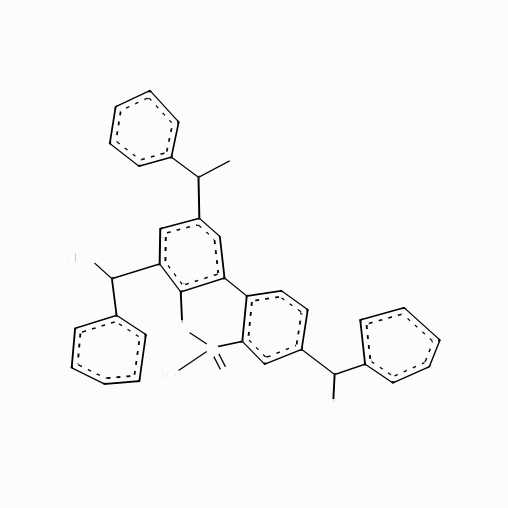 CC(c1ccccc1)c1cc2c(c(C(C)c3ccccc3)c1)OP(=O)(O)c1cc(C(C)c3ccccc3)ccc1-2